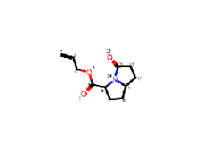 C=CCOC(=O)C1CCC2CCC(=O)N21